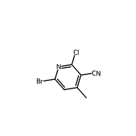 Cc1cc(Br)nc(Cl)c1C#N